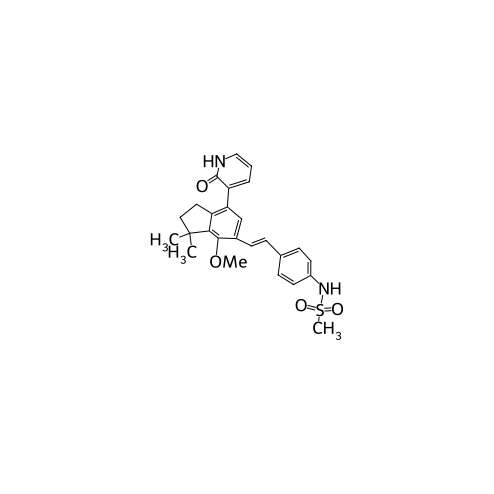 COc1c(C=Cc2ccc(NS(C)(=O)=O)cc2)cc(-c2ccc[nH]c2=O)c2c1C(C)(C)CC2